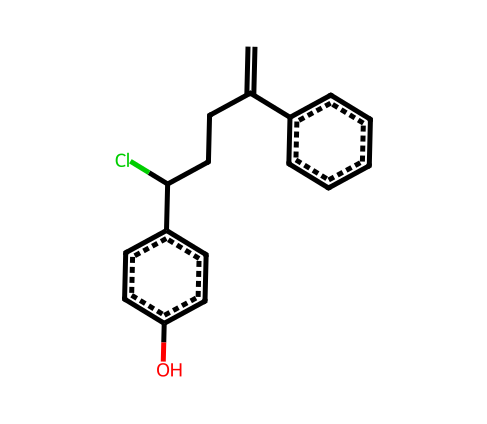 C=C(CCC(Cl)c1ccc(O)cc1)c1ccccc1